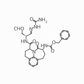 NC(=O)N/N=C/[C@H](CC=O)NC(=O)C1CCc2cccc3c2N1C(=O)[C@@H](NC(=O)OCc1ccccc1)CC3